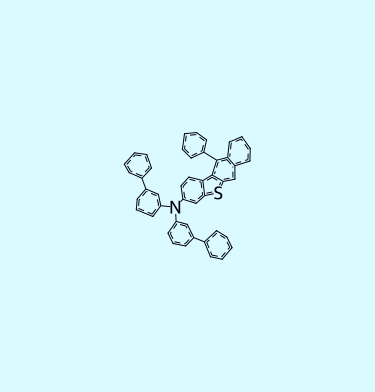 c1ccc(-c2cccc(N(c3cccc(-c4ccccc4)c3)c3ccc4c(c3)sc3cc5ccccc5c(-c5ccccc5)c34)c2)cc1